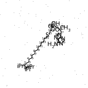 CC(C)[Si](CCCCCCCCCCCCCCSCCOP(=O)(O)CO[C@H](C)Cn1cnc2c(N)ncnc21)(C(C)C)C(C)C